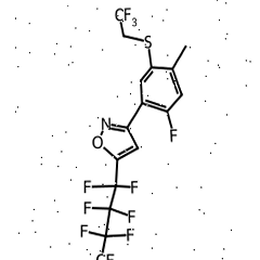 Cc1cc(F)c(-c2cc(C(F)(F)C(F)(F)C(F)(F)C(F)(F)F)on2)cc1SCC(F)(F)F